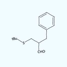 CC(C)(C)SCC([C]=O)Cc1ccccc1